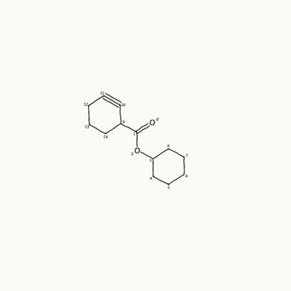 O=C(OC1CCCCC1)C1C#CCCC1